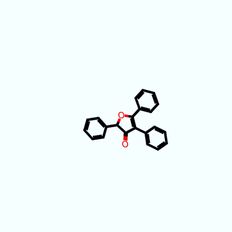 O=C1C(c2ccccc2)=C(c2ccccc2)OC1c1ccccc1